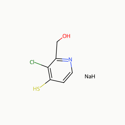 OCc1nccc(S)c1Cl.[NaH]